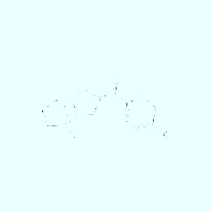 CC12CCC(O1)C1CN(C(=O)C3=CC=C(Cl)C[CH]3)CC12